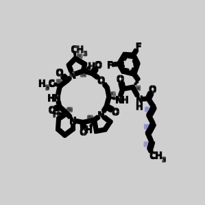 C/C=C/C=C/C=C/C(=O)N[C@@H](Cc1cc(F)cc(F)c1)C(=O)N[C@H]1COC(=O)[C@@H]2C[C@@H](C)CN2C(=O)[C@H](C)NC(=O)[C@@H]2CCCCN2C(=O)[C@@H]2CCCN2C1=O